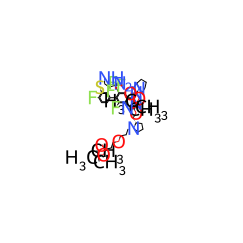 CC(C)(C)OC(=O)CCOCCCN1CCC[C@H]1COc1nc(N2CC3CCC(C2)N3C(=O)OC(C)(C)C)c2cc(C(F)(F)F)c(-c3ccc(F)c4c3C(C#N)C(N)S4)c(F)c2n1